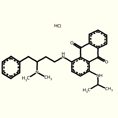 CC(C)Nc1ccc(NCCC(Cc2ccccc2)N(C)C)c2c1C(=O)c1ccccc1C2=O.Cl